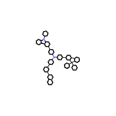 c1ccc(-n2c3ccccc3c3cc(-c4ccc(N(c5ccc(-c6cccc(-c7ccc8ccccc8c7)c6)cc5)c5ccc(-c6ccc7c(c6)C(c6ccccc6)(c6ccccc6)c6ccccc6-7)cc5)cc4)ccc32)cc1